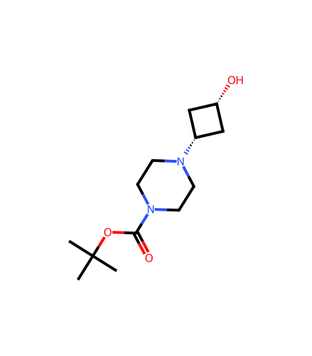 CC(C)(C)OC(=O)N1CCN([C@H]2C[C@@H](O)C2)CC1